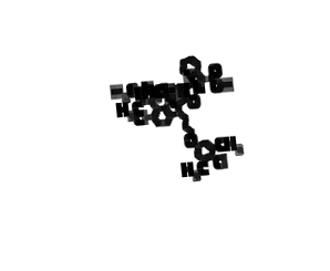 Cc1cc(OCCCc2c3n(c4c(-c5c(C)nn(C)c5C)c(Cl)ccc24)C(C)CN(c2nc(C(=O)O)c4ccccn24)C3=O)cc(C)c1Cl